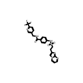 O=C(NCc1ccc(C(F)(F)F)nc1)c1ccc(NS(=O)(=O)CCc2cn3cccnc3n2)cc1